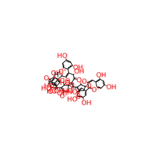 O=C1CC(=O)[C@]2(O)[C@H](O)[C@H](OC3(Oc4c(-c5ccc(O)c(O)c5)[o+]c5cc(O)cc(O)c5c4C(O)[C@H]4OC5(Oc6cc7c(O)cc(O)cc7[o+]c6-c6ccc(O)c(O)c6)C(=O)CC(=O)[C@@]5(O)[C@@H](O)[C@@H]4O)C(=O)CC(=O)[C@]32O)C1O